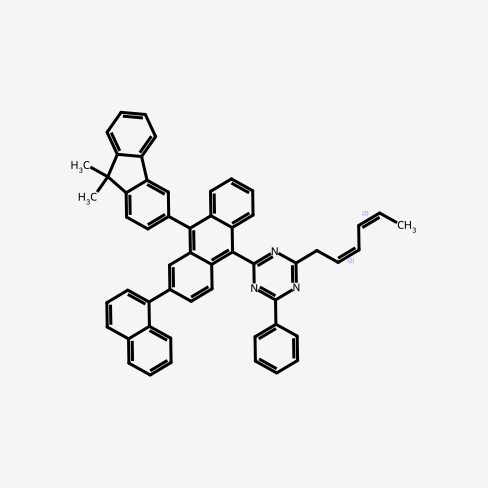 C/C=C\C=C/Cc1nc(-c2ccccc2)nc(-c2c3ccccc3c(-c3ccc4c(c3)-c3ccccc3C4(C)C)c3cc(-c4cccc5ccccc45)ccc23)n1